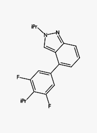 CC(C)c1c(F)cc(-c2cccc3nn(C(C)C)cc23)cc1F